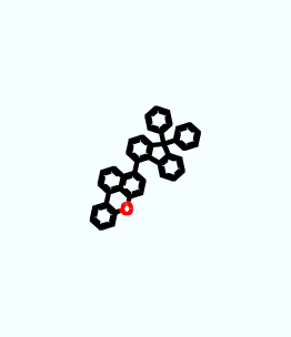 c1ccc(C2(c3ccccc3)c3ccccc3-c3c(-c4ccc5c6c(cccc46)-c4ccccc4O5)cccc32)cc1